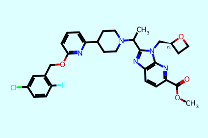 COC(=O)c1ccc2nc(C(C)N3CCC(c4cccc(OCc5cc(Cl)ccc5F)n4)CC3)n(C[C@@H]3CCO3)c2n1